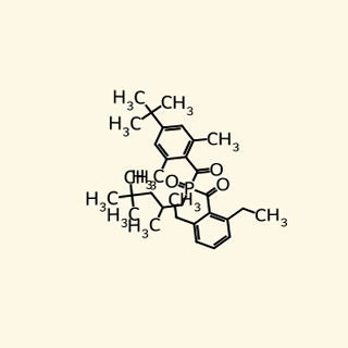 CCc1cccc(CC)c1C(=O)P(=O)(CC(C)CC(C)(C)C)C(=O)c1c(C)cc(C(C)(C)C)cc1C